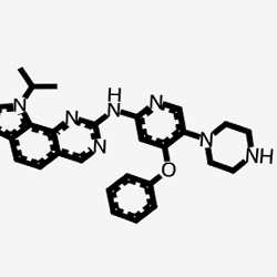 CC(C)n1ccc2ccc3cnc(Nc4cc(Oc5ccccc5)c(N5CCNCC5)cn4)nc3c21